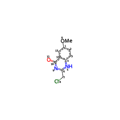 COc1ccc2[nH]c(CCl)nc(=O)c2c1